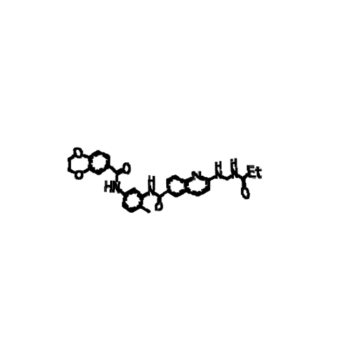 CCC(=O)NCNc1ccc2cc(C(=O)Nc3cc(NC(=O)c4ccc5c(c4)OCCO5)ccc3C)ccc2n1